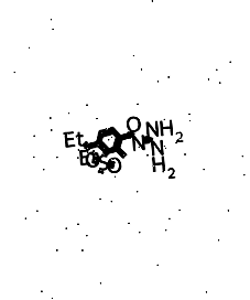 CCC(CC)c1ccc(C(=O)N=C(N)N)c(C)c1S(C)(=O)=O